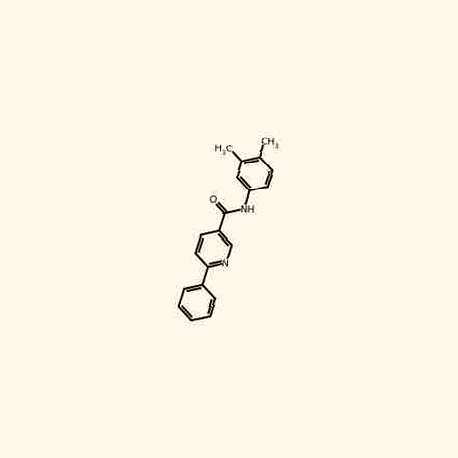 Cc1ccc(NC(=O)c2ccc(-c3ccccc3)nc2)cc1C